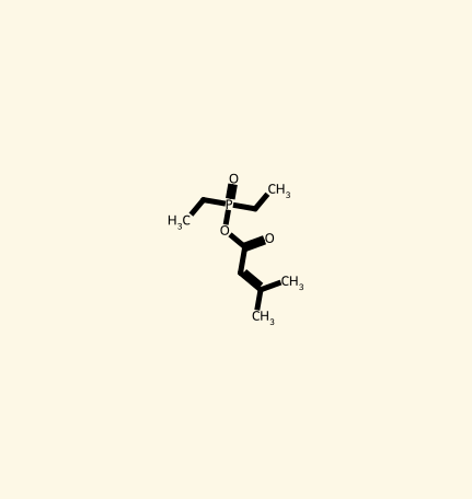 CCP(=O)(CC)OC(=O)C=C(C)C